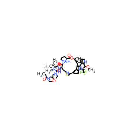 C=CC(=O)N1CCO[C@@]2(CCN(C(=O)N(C)[C@H](C(=O)N[C@H]3Cc4nc(cs4)-c4ccc5c(c4)c(c(-c4cccnc4[C@H](C)OC)n5CC(F)(F)F)CC(C)(C)COC(=O)C4CCCN(N4)C3=O)C(C)C)C2)C1